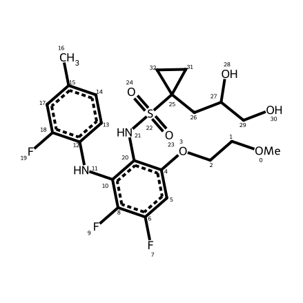 COCCOc1cc(F)c(F)c(Nc2ccc(C)cc2F)c1NS(=O)(=O)C1(CC(O)CO)CC1